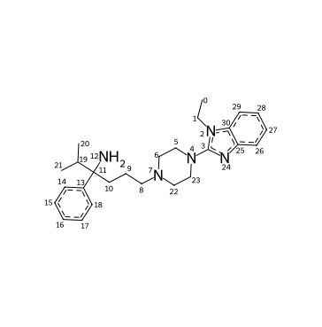 CCn1c(N2CCN(CCCC(N)(c3ccccc3)C(C)C)CC2)nc2ccccc21